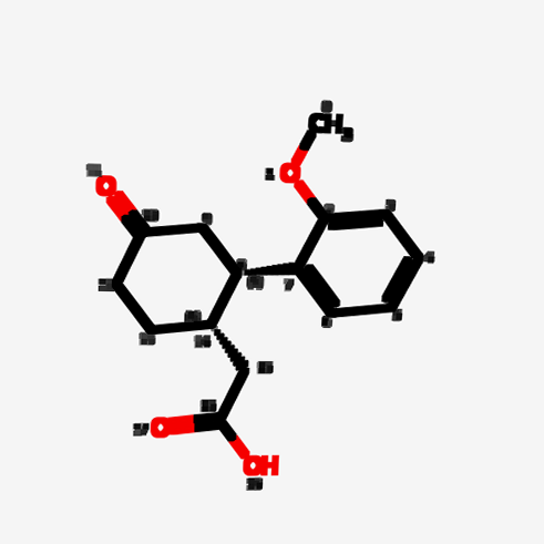 COc1ccccc1[C@H]1CC(=O)CC[C@H]1CC(=O)O